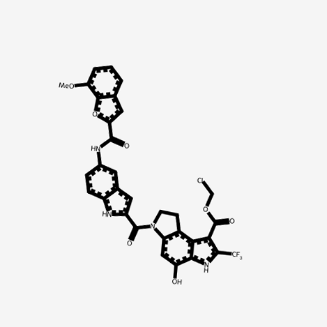 COc1cccc2cc(C(=O)Nc3ccc4[nH]c(C(=O)N5CCc6c5cc(O)c5[nH]c(C(F)(F)F)c(C(=O)OCCl)c65)cc4c3)oc12